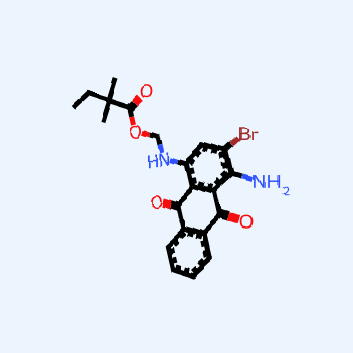 CCC(C)(C)C(=O)OCNc1cc(Br)c(N)c2c1C(=O)c1ccccc1C2=O